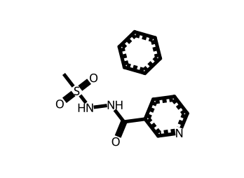 CS(=O)(=O)NNC(=O)c1cccnc1.c1ccccc1